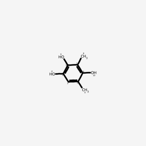 Cc1cc(O)c(O)c(C)c1O